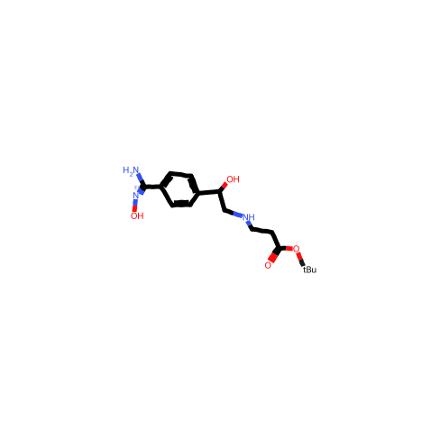 CC(C)(C)OC(=O)CCNCC(O)c1ccc(/C(N)=N\O)cc1